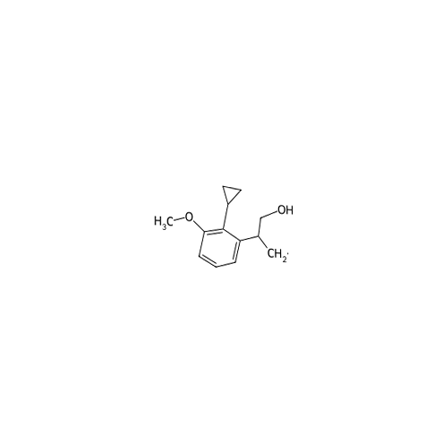 [CH2]C(CO)c1cccc(OC)c1C1CC1